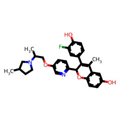 CC1=C(c2ccc(O)c(F)c2)C(c2ccc(OCC(C)N3CCC(C)C3)cn2)Oc2ccc(O)cc21